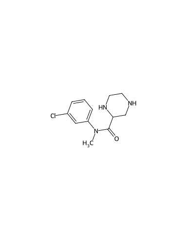 CN(C(=O)C1CNCCN1)c1cccc(Cl)c1